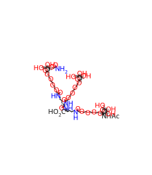 CC(=O)N[C@H]1[C@H](OCCOCCOCCOCC(=O)NCCCC[C@H](NC(=O)[C@H](CCCCNC(=O)COCCOCCOCCO[C@H]2C[C@@H](OCC(N)=O)[C@@H](O)[C@@H](CO)O2)NC(=O)COCCOCCOCCO[C@H]2C[C@@H](O)[C@@H](O)[C@@H](CO)O2)C(=O)O)O[C@H](CO)[C@H](O)[C@@H]1O